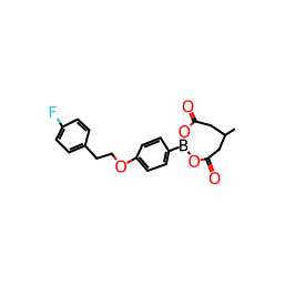 CC1CC(=O)OB(c2ccc(OCCc3ccc(F)cc3)cc2)OC(=O)C1